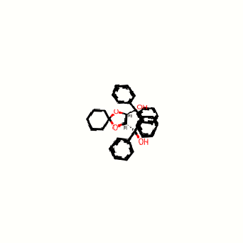 OC(c1ccccc1)(c1ccccc1)[C@@H]1OC2(CCCCC2)O[C@H]1C(O)(c1ccccc1)c1ccccc1